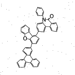 O=c1c2ccccc2c2cc(-c3ccc(-c4ccc5c6ccccc6c6ccccc6c5c4)c4oc5ccccc5c34)ccc2n1-c1ccccc1